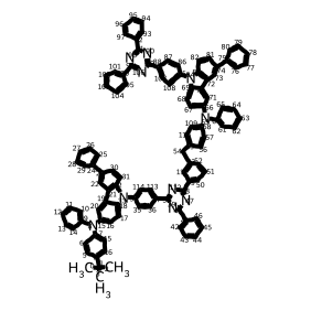 CC(C)(C)c1ccc(N(c2ccccc2)c2ccc3c(c2)c2cc(-c4ccccc4)ccc2n3-c2ccc(-c3nc(-c4ccccc4)nc(-c4cccc(Cc5ccc(N(c6ccccc6)c6ccc7c(c6)c6cc(-c8ccccc8)ccc6n7-c6ccc(-c7nc(-c8ccccc8)nc(-c8ccccc8)n7)cc6)cc5)c4)n3)cc2)cc1